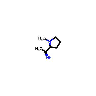 CC(=N)C1CCCN1C